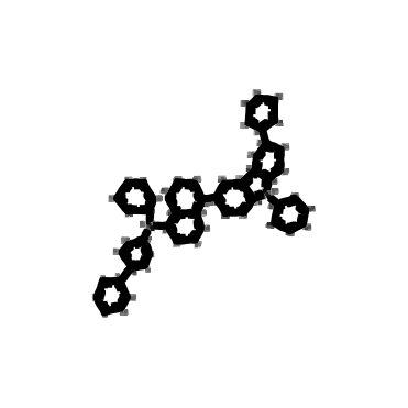 c1ccc(-c2ccc(N(c3ccccc3)c3cccc4c(-c5ccc6c(c5)c5cc(-c7ccccc7)ccc5n6-c5ccccc5)cccc34)cc2)cc1